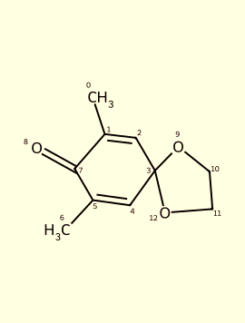 CC1=CC2(C=C(C)C1=O)OCCO2